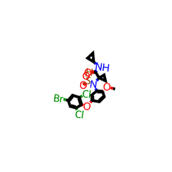 COc1ccc(Oc2c(Cl)cc(Br)cc2Cl)cc1N([SH](=O)=O)C1(C(=O)NC2CC2)CC1